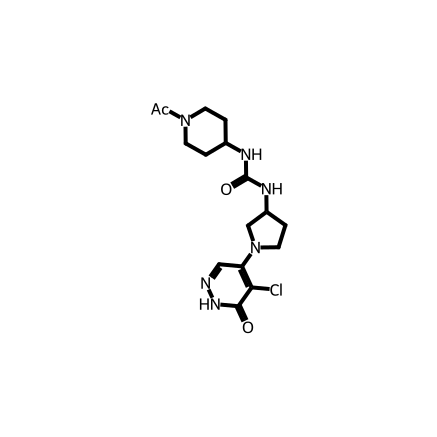 CC(=O)N1CCC(NC(=O)NC2CCN(c3cn[nH]c(=O)c3Cl)C2)CC1